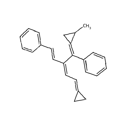 CC1CC1=C(C(C=Cc1ccccc1)=CC=C1CC1)c1ccccc1